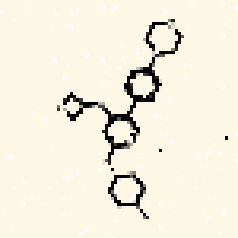 C[C@H]1CC[C@H](Nc2ncc(-c3ccc(N4CCOCC4)cc3)c(OC3COC3)n2)CC1